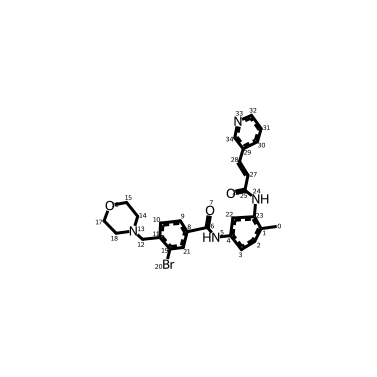 Cc1ccc(NC(=O)c2ccc(CN3CCOCC3)c(Br)c2)cc1NC(=O)/C=C/c1cccnc1